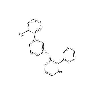 FC(F)(F)c1ccccc1-c1cccc(C=C2CC=CNC2c2cccnc2)c1